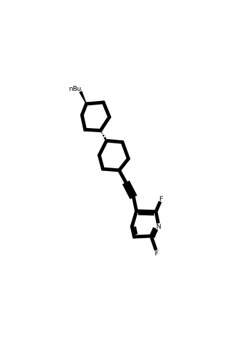 CCCC[C@H]1CC[C@H](C2CCC(C#Cc3ccc(F)nc3F)CC2)CC1